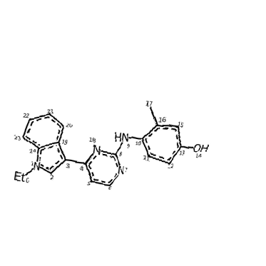 CCn1cc(-c2ccnc(Nc3ccc(O)cc3C)n2)c2ccccc21